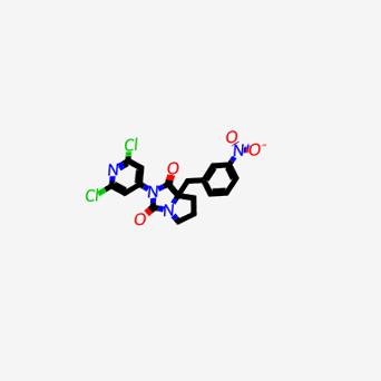 O=C1N(c2cc(Cl)nc(Cl)c2)C(=O)C2(Cc3cccc([N+](=O)[O-])c3)CCCN12